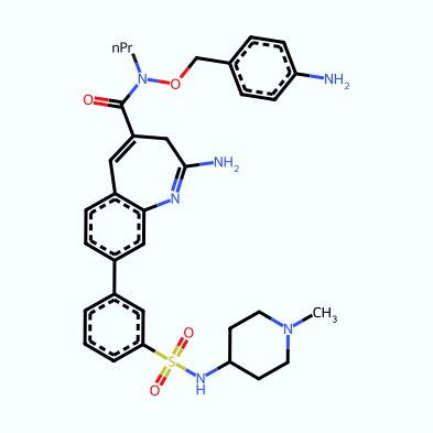 CCCN(OCc1ccc(N)cc1)C(=O)C1=Cc2ccc(-c3cccc(S(=O)(=O)NC4CCN(C)CC4)c3)cc2N=C(N)C1